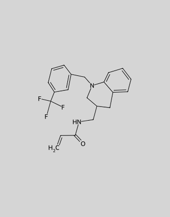 C=CC(=O)NCC1Cc2ccccc2N(Cc2cccc(C(F)(F)F)c2)C1